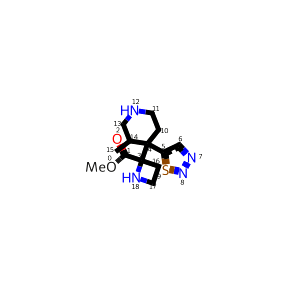 COC(=O)C1(C2(c3cnns3)CCNCC2C)CCN1